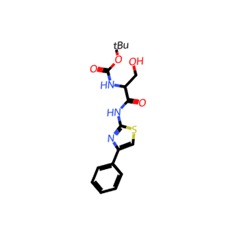 CC(C)(C)OC(=O)NC(CO)C(=O)Nc1nc(-c2ccccc2)cs1